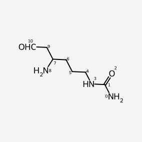 NC(=O)NCCCC(N)CC=O